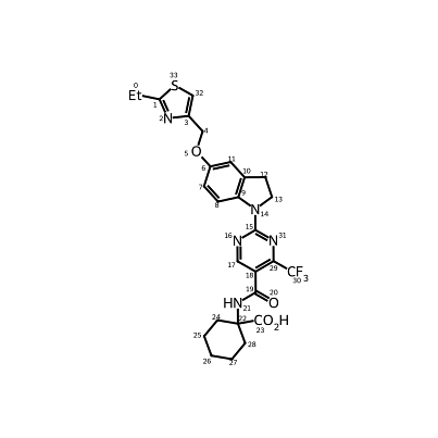 CCc1nc(COc2ccc3c(c2)CCN3c2ncc(C(=O)NC3(C(=O)O)CCCCC3)c(C(F)(F)F)n2)cs1